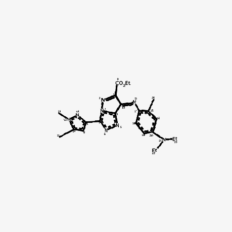 CCOC(=O)C1=Nn2c(nnc2-c2cc(C)n(C)n2)/C1=N\c1ccc(N(CC)CC)cc1C